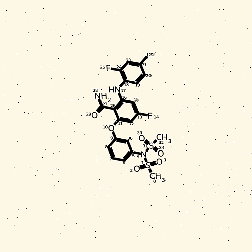 CS(=O)(=O)N(c1cccc(Oc2cc(F)cc(Nc3ccc(I)cc3F)c2C(N)=O)c1)S(C)(=O)=O